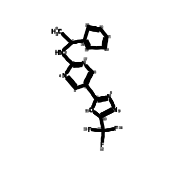 CC(Nc1ncc(-c2nnc(C(F)(F)F)o2)cn1)c1ccccc1